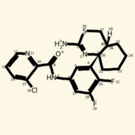 NC1=N[C@@]2(c3cc(NC(=O)c4ncccc4Cl)cc(F)c3F)CCCC[C@H]2CS1